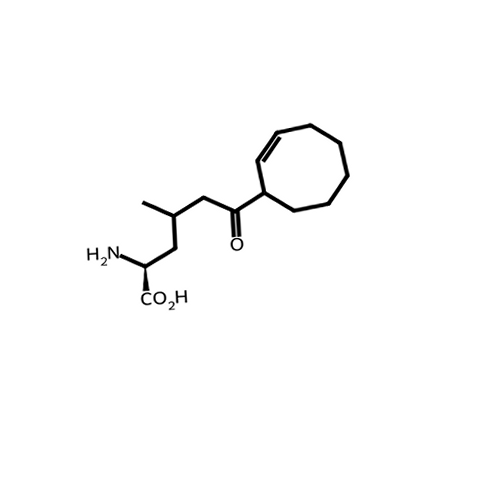 CC(CC(=O)C1C=CCCCCC1)C[C@H](N)C(=O)O